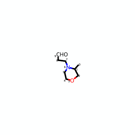 CC1COCCN1CCC=O